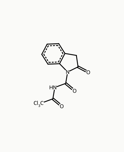 O=C1Cc2ccccc2N1C(=O)NC(=O)C(Cl)(Cl)Cl